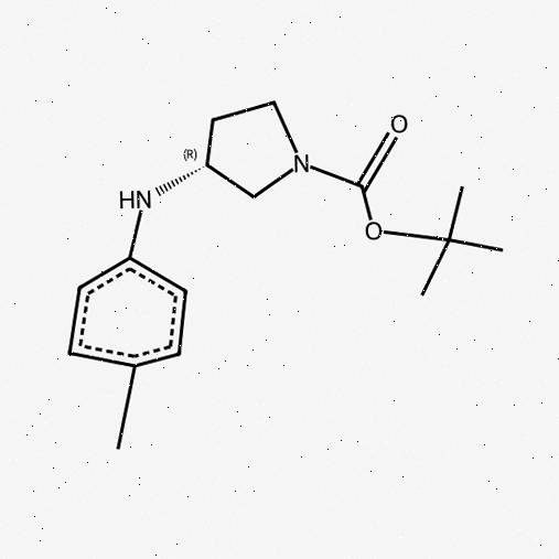 Cc1ccc(N[C@@H]2CCN(C(=O)OC(C)(C)C)C2)cc1